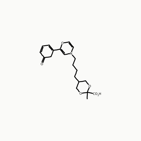 CC1(C(=O)O)OCC(CCCCN2C=COC(C3=CC=CC(=O)C3)=C2)CO1